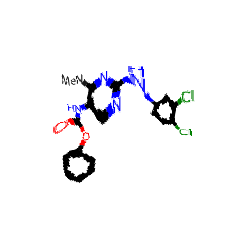 CNc1nc(Nc2ccc(Cl)c(Cl)c2)ncc1NC(=O)Oc1ccccc1